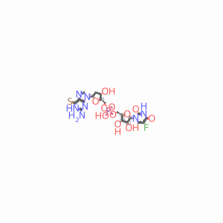 Nc1nc2c(ncn2[C@H]2CC(O)[C@@H](COP(=O)(O)OC[C@H]3O[C@@H](n4cc(F)c(=O)[nH]c4=O)[C@@H](O)[C@H]3O)O2)c(=S)[nH]1